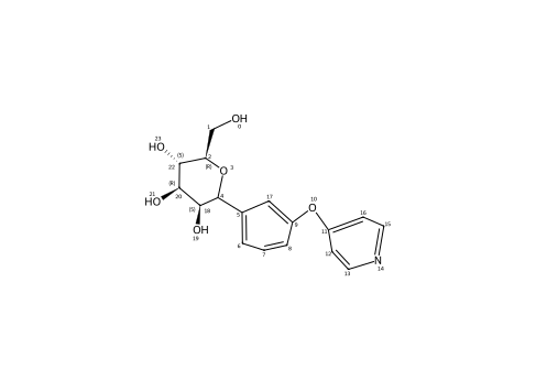 OC[C@H]1OC(c2cccc(Oc3ccncc3)c2)[C@@H](O)[C@@H](O)[C@@H]1O